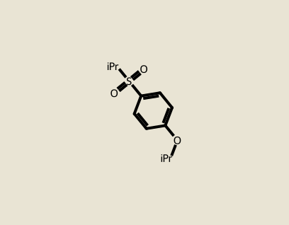 CC(C)Oc1ccc(S(=O)(=O)C(C)C)cc1